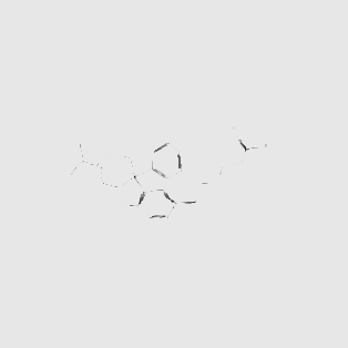 CC(C)N1CCC(c2ccccc2)(c2cc(CCOCCC(=O)O)ccc2O)CC1